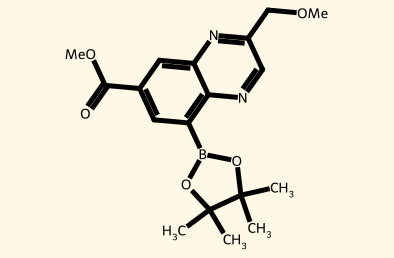 COCc1cnc2c(B3OC(C)(C)C(C)(C)O3)cc(C(=O)OC)cc2n1